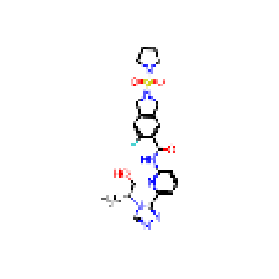 C[C@H](CO)n1cnnc1-c1cccc(NC(=O)c2cc3c(cc2F)CN(S(=O)(=O)N2CCCC2)C3)n1